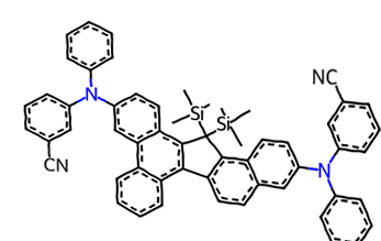 C[Si](C)(C)C1([Si](C)(C)C)c2c(ccc3cc(N(c4ccccc4)c4cccc(C#N)c4)ccc23)-c2c1c1ccc(N(c3ccccc3)c3cccc(C#N)c3)cc1c1ccccc21